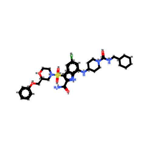 NC(=O)c1[nH]c2c(NC3CCN(C(=O)NCC4CCCCC4)CC3)cc(Cl)cc2c1S(=O)(=O)N1CCO[C@H](COc2ccccc2)C1